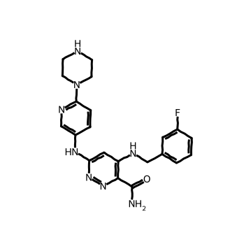 NC(=O)c1nnc(Nc2ccc(N3CCNCC3)nc2)cc1NCc1cccc(F)c1